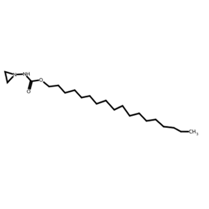 CCCCCCCCCCCCCCCCCCOC(=O)NN1CC1